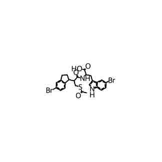 CC(=O)SCC(C(=O)NC(Cc1c[nH]c2ccc(Br)cc12)C(=O)O)C1CCc2cc(Br)ccc21